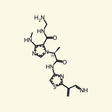 C=C(C=N)c1nc(NC(=O)[C@H](C)n2cnc(NC)c2C(=O)NCN)cs1